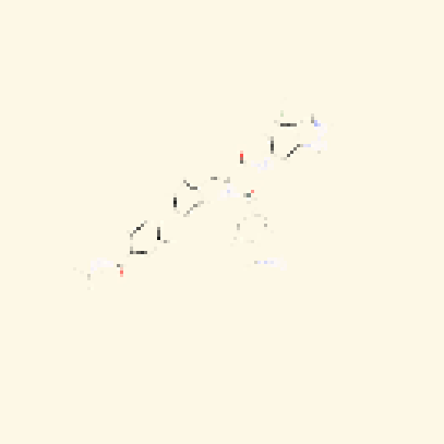 Cc1cc(C(=O)NC(C)C)ccc1-c1ccc(C[C@H](NC(=O)[C@H]2CC[C@H](CN)CC2)C(=O)Nc2cc(Cl)c3cn[nH]c3c2)cc1